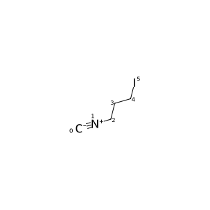 [C-]#[N+]CCCI